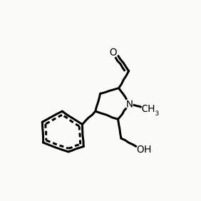 CN1C(C=O)CC(c2ccccc2)C1CO